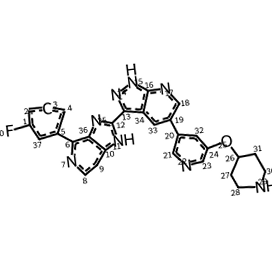 Fc1cccc(-c2nccc3[nH]c(-c4n[nH]c5ncc(-c6cncc(OC7CCNCC7)c6)cc45)nc23)c1